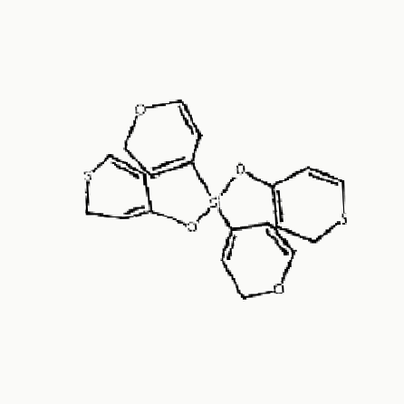 C1=CC([Si](OC2=CCSC=C2)(OC2=CCSC=C2)C2=CCOC=C2)=CCO1